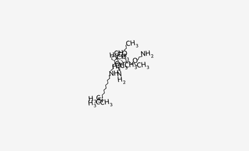 CCCCO[C@@H](C)CC[C@](C)(CC[C@H](CC)OCCCN)[C@H](C)C[C@H](OCCCN)[C@@]1(C)[C@H](C)CC[C@@H]1[C@H](C)CCCNCCCCCCCCCC[Si](C)(C)C